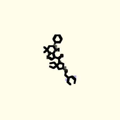 C/C=C\C(=C/C)CO[C@H]1CN(C(=O)c2cnn3c2N[C@@H](c2ccccc2)CC3(C)C)C(CC)(CC)C1